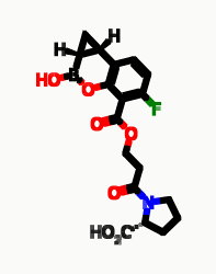 O=C(OCCC(=O)N1CCC[C@@H]1C(=O)O)c1c(F)ccc2c1OB(O)[C@@H]1C[C@H]21